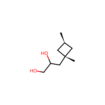 C[C@H]1C[C@](C)(CC(O)CO)C1